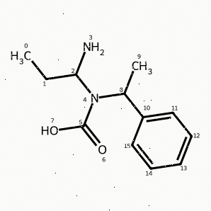 CCC(N)N(C(=O)O)C(C)c1ccccc1